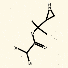 CC(C)(OC(=O)C(Br)Br)C1CN1